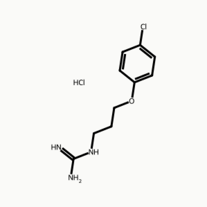 Cl.N=C(N)NCCCOc1ccc(Cl)cc1